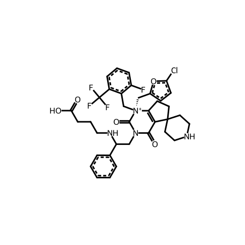 O=C(O)CCCNC(CN1C(=O)C2=C(CCC23CCNCC3)[N@+](Cc2ccc(Cl)o2)(Cc2c(F)cccc2C(F)(F)F)C1=O)c1ccccc1